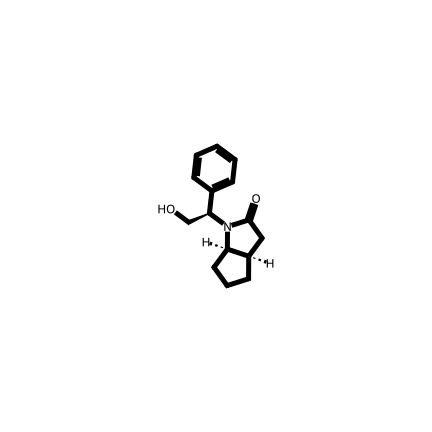 O=C1C[C@H]2CCC[C@H]2N1[C@@H](CO)c1ccccc1